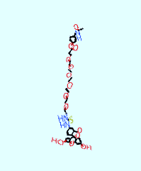 CC(=O)NCc1ccc(OC(=O)CCOCCOCCOCCOCCOCCOCCNC(=S)Nc2ccc3c(c2)C(=O)OC32c3ccc(O)cc3Oc3cc(O)ccc32)cc1